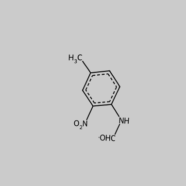 Cc1ccc(N[C]=O)c([N+](=O)[O-])c1